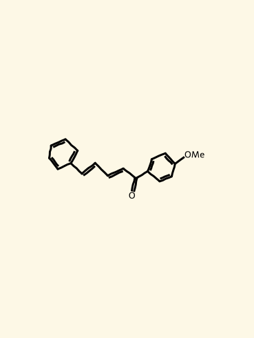 COc1ccc(C(=O)C=CC=Cc2ccccc2)cc1